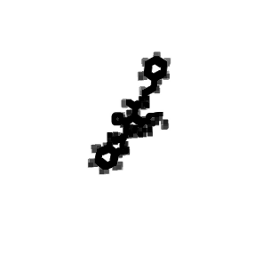 C/C(=N\CCc1ccccc1)c1c(C(F)(F)F)[nH]n(-c2nc3ccccc3s2)c1=O